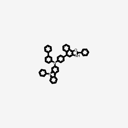 c1ccc(-c2cccc(N(c3ccc(-c4cc5c(c6ccccc46)OC(c4ccccc4)N5)cc3)c3ccc4c5ccccc5n(-c5ccccc5)c4c3)c2)cc1